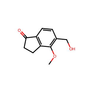 COc1c(CO)ccc2c1CCC2=O